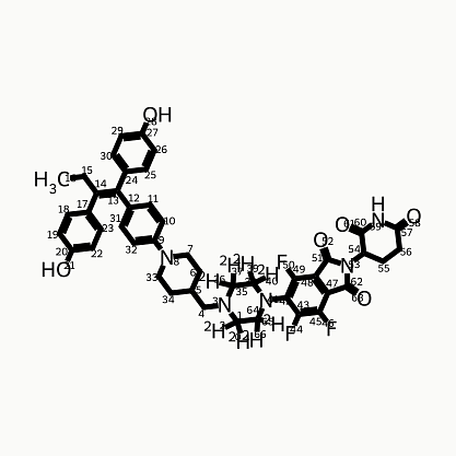 [2H]C1([2H])N(CC2CCN(c3ccc(C(=C(CC)c4ccc(O)cc4)c4ccc(O)cc4)cc3)CC2)C([2H])([2H])C([2H])([2H])N(c2c(F)c(F)c3c(c2F)C(=O)N(C2CCC(=O)NC2=O)C3=O)C1([2H])[2H]